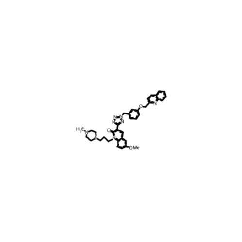 COc1ccc2c(c1)cc(-c1nnn(Cc3cccc(OCc4ccc5ccccc5n4)c3)n1)c(=O)n2CCCN1CCN(C)CC1